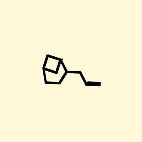 C=CCC1CCC2C[C]1C2